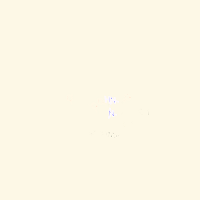 COc1ccccc1C(Cn1c(=O)[nH]c(=O)c2c(C)csc21)OC1CCOCC1